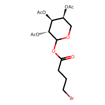 CC(=O)O[C@H]1[C@@H](OC(C)=O)COC(OC(=O)CCCBr)[C@@H]1OC(C)=O